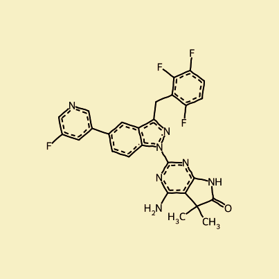 CC1(C)C(=O)Nc2nc(-n3nc(Cc4c(F)ccc(F)c4F)c4cc(-c5cncc(F)c5)ccc43)nc(N)c21